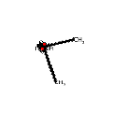 CCCCCCCC/C=C/CCCCCCCC(=O)C(O)(C(O)C(=O)CCCCCCCCCCCCCCCCCCC)C1(O)C(=O)CCC1=O